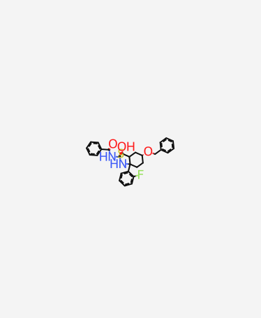 O=C(NC(=S)NC1(c2ccccc2F)CC[C@@H](OCc2ccccc2)CC1CO)c1ccccc1